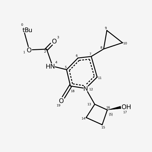 CC(C)(C)OC(=O)Nc1cc(C2CC2)cn(C2CC[C@@H]2O)c1=O